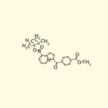 COC(=O)c1ccc(C(=O)c2ccc3c(B4OC(C)(C)C(C)(C)O4)cccn23)cc1